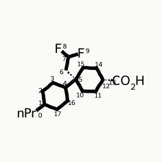 CCCC1CCC([C@]2(CC(F)F)CC[C@@H](C(=O)O)CC2)CC1